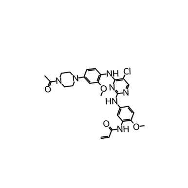 C=CC(=O)Nc1cc(Nc2ncc(Cl)c(Nc3ccc(N4CCN(C(C)=O)CC4)cc3OC)n2)ccc1OC